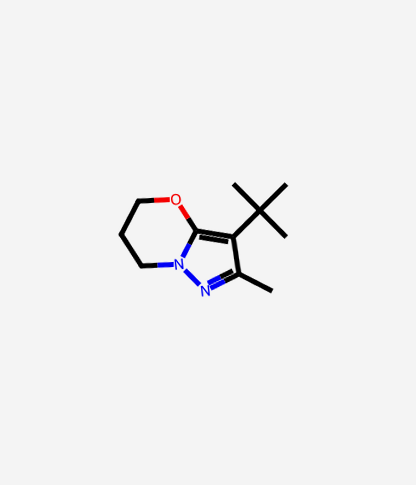 Cc1nn2c(c1C(C)(C)C)OCCC2